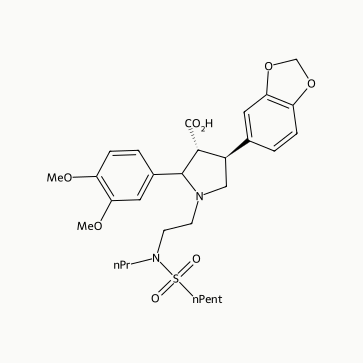 CCCCCS(=O)(=O)N(CCC)CCN1C[C@H](c2ccc3c(c2)OCO3)[C@@H](C(=O)O)C1c1ccc(OC)c(OC)c1